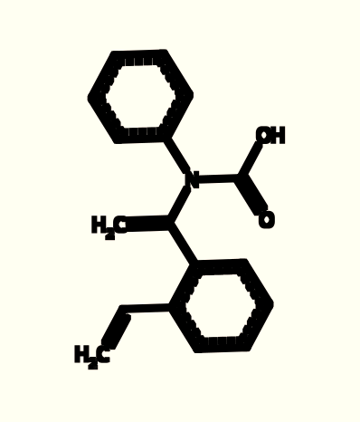 C=Cc1ccccc1C(=C)N(C(=O)O)c1ccccc1